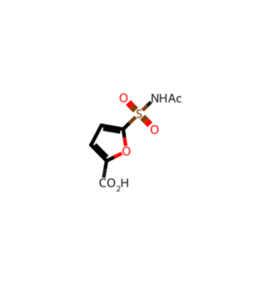 CC(=O)NS(=O)(=O)c1ccc(C(=O)O)o1